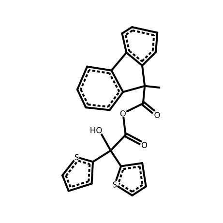 CC1(C(=O)OC(=O)C(O)(c2cccs2)c2cccs2)c2ccccc2-c2ccccc21